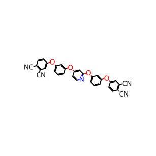 N#Cc1ccc(Oc2cccc(Oc3ccnc(Oc4cccc(Oc5ccc(C#N)c(C#N)c5)c4)c3)c2)cc1C#N